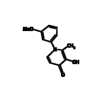 COc1cccc(-n2ccc(=O)c(O)c2C)c1